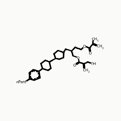 C=C(C)C(=O)OCCC(COC(=O)C(=C)CO)CC1CCC(C2CCC(c3ccc(CCCCC)cc3)CC2)CC1